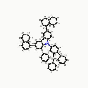 c1ccc([Si]2(c3ccccc3)c3ccccc3-c3ccc(-n4c5ccc(-c6cccc7ccccc67)cc5c5cc(-c6cccc7ccccc67)ccc54)cc32)cc1